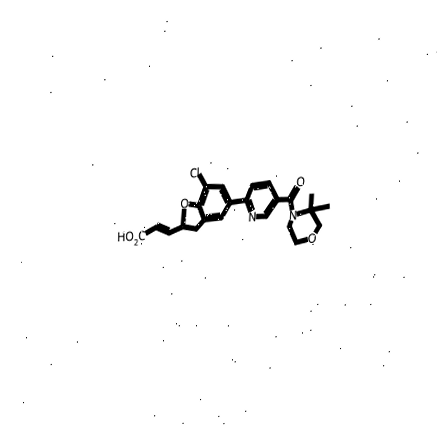 CC1(C)COCCN1C(=O)c1ccc(-c2cc(Cl)c3c(c2)CC(C=CC(=O)O)O3)nc1